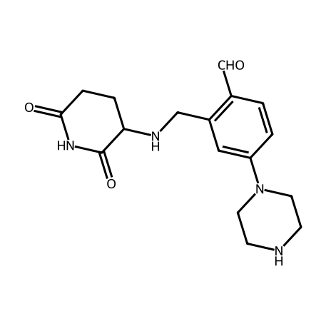 O=Cc1ccc(N2CCNCC2)cc1CNC1CCC(=O)NC1=O